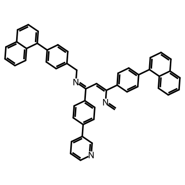 C=N/C(=C\C(=N/Cc1ccc(-c2cccc3ccccc23)cc1)c1ccc(-c2cccnc2)cc1)c1ccc(-c2cccc3ccccc23)cc1